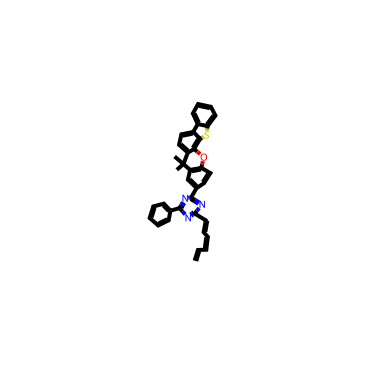 C=C/C=C\C=C\c1nc(-c2ccccc2)nc(-c2ccc3c(c2)C(C)(C)c2ccc4c(sc5ccccc54)c2O3)n1